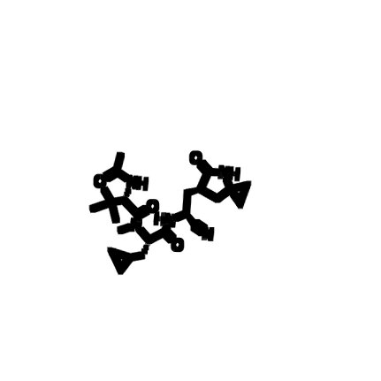 CC(=O)N[C@H](C(=O)N(C)[C@@H](CC1CC1)C(=O)N[C@H](C#N)C[C@@H]1CC2(CC2)NC1=O)C(C)(C)C